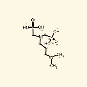 CN(C)CCCN(CP(=O)(O)O)CP(=O)(O)O